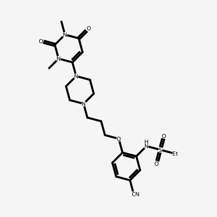 CCS(=O)(=O)Nc1cc(C#N)ccc1OCCCN1CCN(c2cc(=O)n(C)c(=O)n2C)CC1